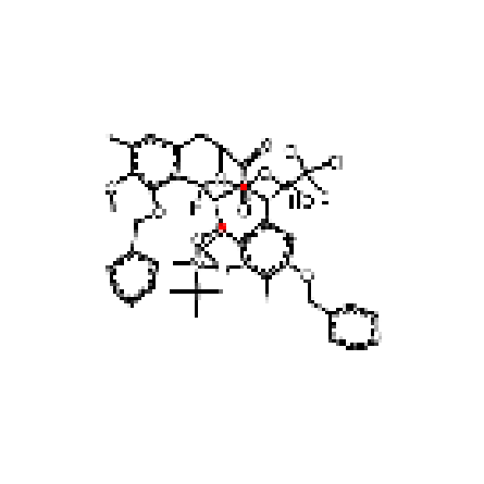 COc1c(C)cc2c(c1OCc1ccccc1)[C@@H]1[C@H](CO[Si](C)(C)C(C)(C)C)N([C@@H](CO)c3cc(OCc4ccccc4)c(C)c4c3OCO4)C(=O)C(C2)N1C(=O)OCC(Cl)(Cl)Cl